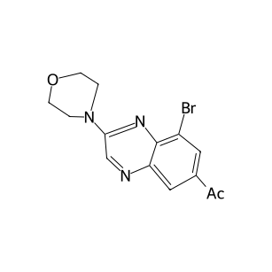 CC(=O)c1cc(Br)c2nc(N3CCOCC3)cnc2c1